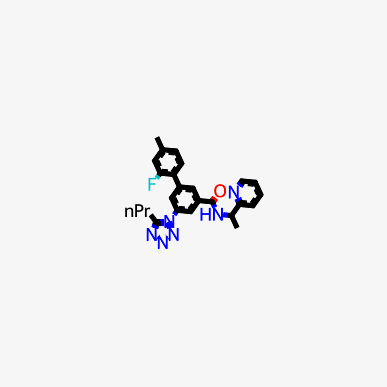 CCCc1nnnn1-c1cc(C(=O)NC(C)c2ccccn2)cc(-c2ccc(C)cc2F)c1